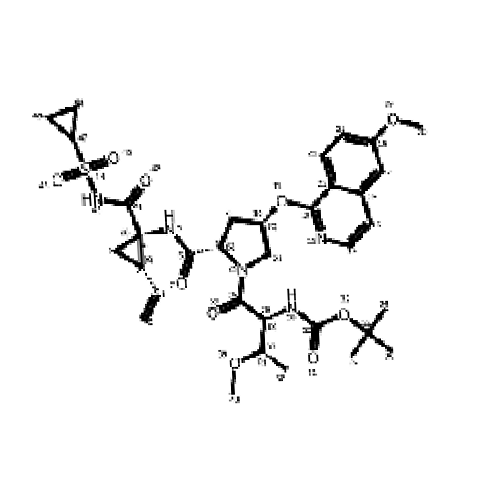 C=C[C@@H]1C[C@]1(NC(=O)[C@@H]1C[C@@H](Oc2nccc3cc(OC)ccc23)CN1C(=O)[C@@H](NC(=O)OC(C)(C)C)[C@@H](C)OC)C(=O)NS(=O)(=O)C1CC1